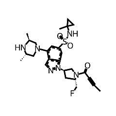 CC#CC(=O)N1C[C@H](n2ncc3c(N4C[C@H](C)N[C@@H](C)C4)cc(S(=O)(=O)NC4(C)CC4)cc32)C[C@H]1CF